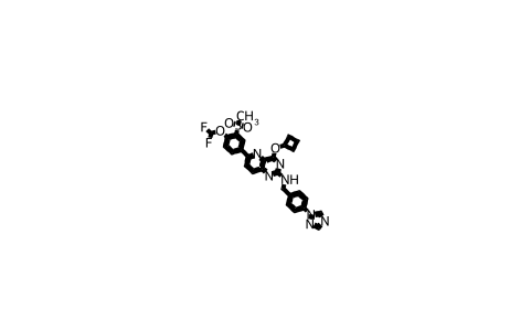 CS(=O)(=O)c1cc(-c2ccc3nc(NCc4ccc(-n5cncn5)cc4)nc(OC4CCC4)c3n2)ccc1OC(F)F